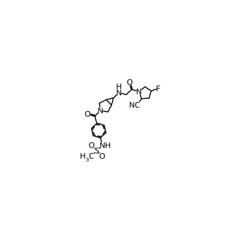 CS(=O)(=O)Nc1ccc(C(=O)N2CC3C(C2)C3NCC(=O)N2CC(F)CC2C#N)cc1